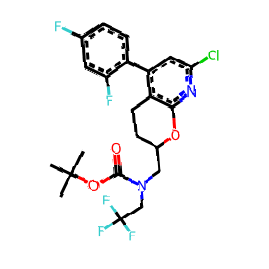 CC(C)(C)OC(=O)N(CC1CCc2c(-c3ccc(F)cc3F)cc(Cl)nc2O1)CC(F)(F)F